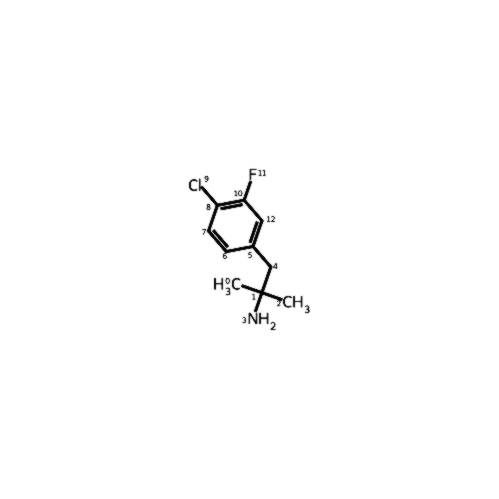 CC(C)(N)Cc1ccc(Cl)c(F)c1